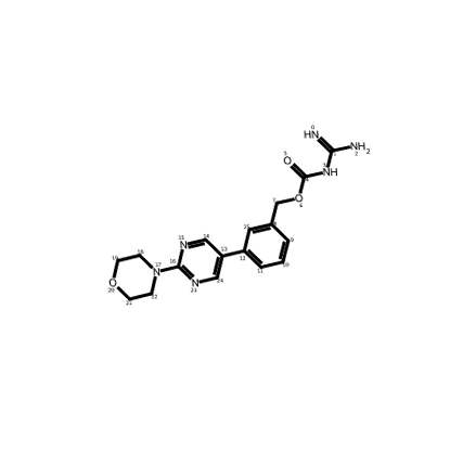 N=C(N)NC(=O)OCc1cccc(-c2cnc(N3CCOCC3)nc2)c1